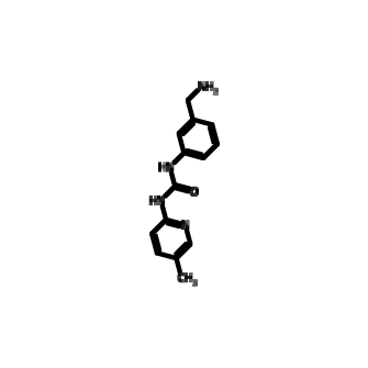 Cc1ccc(NC(=O)Nc2cccc(CN)c2)nc1